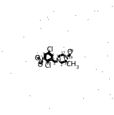 CC1CN(Cc2cc(Cl)cc([N+](=O)[O-])c2Cl)CCN1C=O